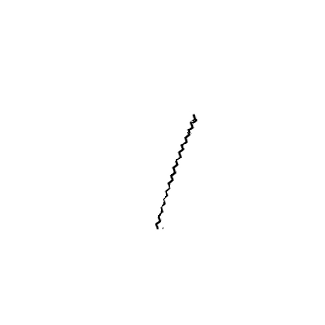 [CH2]CCCCCCCCCCCCC=CCCCCCCCCCCCCCCC